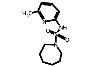 Cc1cccc(NS(=O)(=O)N2CCCCCC2)n1